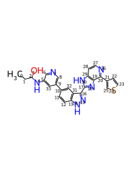 CCC(O)Nc1cncc(-c2ccc3[nH]nc(-c4nc5c(-c6ccsc6)nccc5[nH]4)c3c2)c1